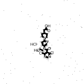 Cl.O=C(O)CC1CCN(c2ccc(N(CCO)C(=O)c3c(Cl)ncnc3Cl)cn2)CC1